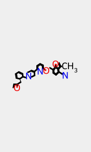 Cc1coc2c(COc3cccc(C4=CCN(CC5C=CC=C[C@@H]5CC5CCO5)CC4)n3)ccc(C#N)c12